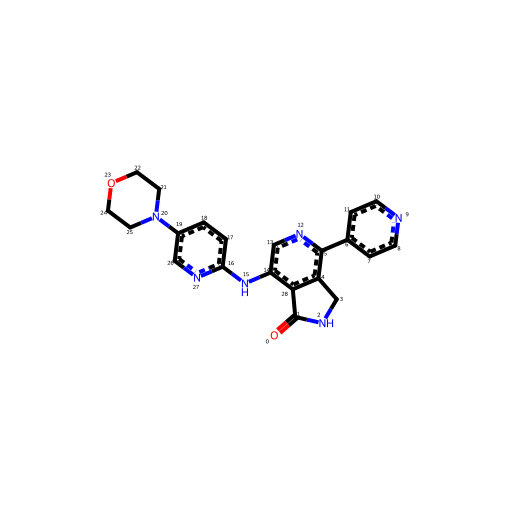 O=C1NCc2c(-c3ccncc3)ncc(Nc3ccc(N4CCOCC4)cn3)c21